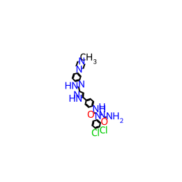 CN1CCN(c2ccc3[nH]c(-c4cc(-c5ccc(NC(=O)N(NC(N)=O)c6ccc(Cl)c(Cl)c6)cc5)[nH]n4)nc3c2)CC1